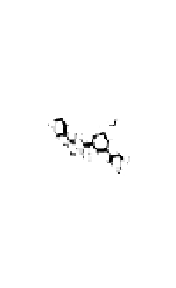 CCOC1=CC(c2cncnc2)=C/C(=C(/N=C(\N)c2cccnc2)NC)C1